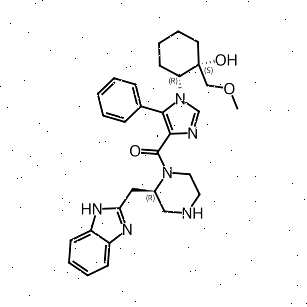 COC[C@]1(O)CCCC[C@H]1n1cnc(C(=O)N2CCNC[C@H]2Cc2nc3ccccc3[nH]2)c1-c1ccccc1